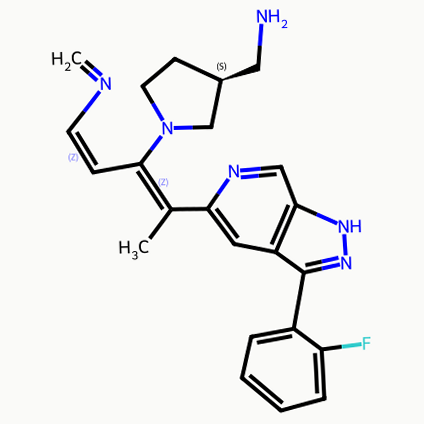 C=N/C=C\C(=C(/C)c1cc2c(-c3ccccc3F)n[nH]c2cn1)N1CC[C@@H](CN)C1